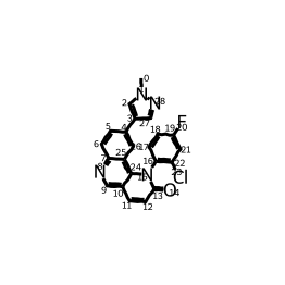 Cn1cc(-c2ccc3ncc4ccc(=O)n(-c5ccc(F)cc5Cl)c4c3c2)cn1